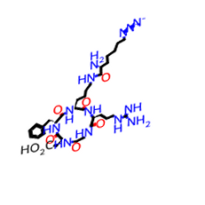 [N-]=[N+]=NCCCCC[C@@H](N)C(=O)NCCCC[C@@H]1NC(=O)[C@@H](Cc2ccccc2)NC(=O)[C@H](CC(=O)O)NC(=O)CNC(=O)[C@H](CCCNC(=N)N)NC1=O